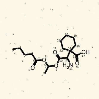 CCCCC(=O)OC(C)OC(=O)C(N)C1(C(=O)O)CCCCC1